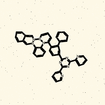 C1=CB2N3C=c4ccccc4=CB3c3ccccc3N2C(c2ccc(-c3nc(-c4ccccn4)nc(-c4ccccn4)n3)cc2-c2ccccc2)=C1